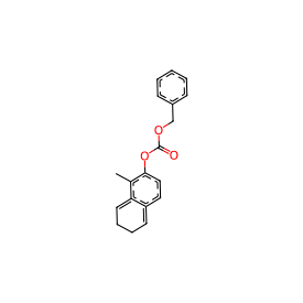 Cc1c(OC(=O)OCc2ccccc2)ccc2c1=CCCC=2